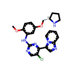 COc1ccc(OC[C@@H]2CCCN2)cc1Nc1ncc(Cl)c(-c2cnc3ccccn23)n1